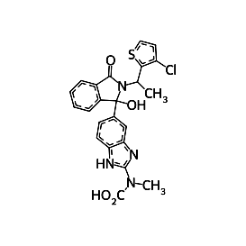 CC(c1sccc1Cl)N1C(=O)c2ccccc2C1(O)c1ccc2[nH]c(N(C)C(=O)O)nc2c1